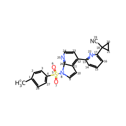 Cc1ccc(S(=O)(=O)n2ccc3c(-c4cccc(C5(C#N)CC5)n4)ccnc32)cc1